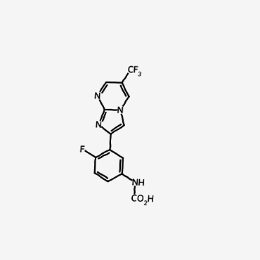 O=C(O)Nc1ccc(F)c(-c2cn3cc(C(F)(F)F)cnc3n2)c1